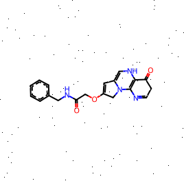 O=C(COC1=CC2=CNC3=C(N=CCC3=O)N2C1)NCc1ccccc1